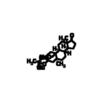 COC[C@]12CCC(O[Si](C)(C)C(C)(C)C)C[C@]1(C)CC[C@@H]1[C@@H]2CC[C@]2(C)C(=O)CC[C@@H]12